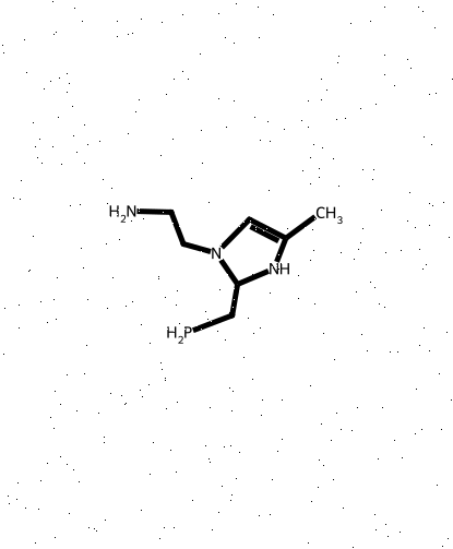 CC1=CN(CCN)C(CP)N1